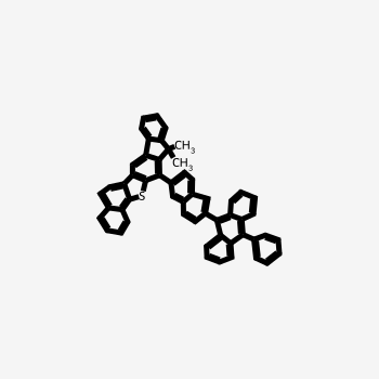 CC1(C)c2ccccc2-c2cc3c(sc4c5ccccc5ccc34)c(-c3ccc4cc(-c5c6ccccc6c(-c6ccccc6)c6ccccc56)ccc4c3)c21